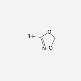 [2H]C1=NOCO1